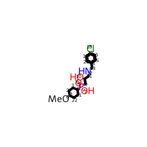 COC1CCC(P(=O)(O)C[C@H](O)CNCc2ccc(Cl)cc2)CC1